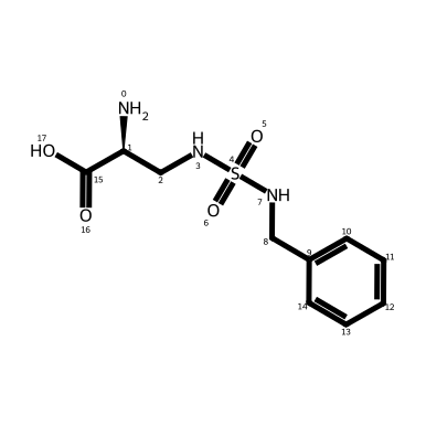 N[C@@H](CNS(=O)(=O)NCc1ccccc1)C(=O)O